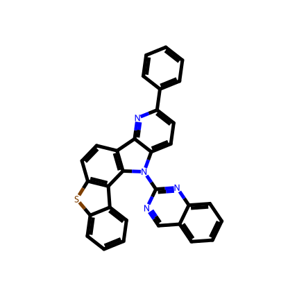 c1ccc(-c2ccc3c(n2)c2ccc4sc5ccccc5c4c2n3-c2ncc3ccccc3n2)cc1